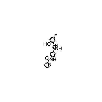 O=C(Nc1ccc(-c2cc(-c3cc(F)ccc3O)n[nH]2)cc1)c1ccccn1